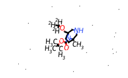 [2H]C([2H])([2H])OCC12CCC(C)(CNC1)N2C(=O)OC(C)(C)C